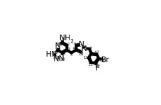 Nc1cc(Cc2cnn(Cc3ccc(F)c(Br)c3)c2)c2nn[nH]c2n1